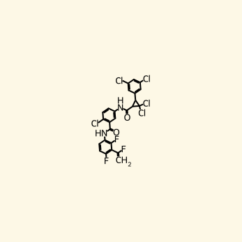 C=C(F)c1c(F)ccc(NC(=O)c2cc(NC(=O)C3C(c4cc(Cl)cc(Cl)c4)C3(Cl)Cl)ccc2Cl)c1F